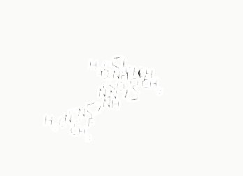 Cc1cccc(C)c1NC(=O)c1cnc(Nc2ccc(N3CCN(C)C(C)C3)c(F)c2)nc1Oc1ccccc1OC(C)C